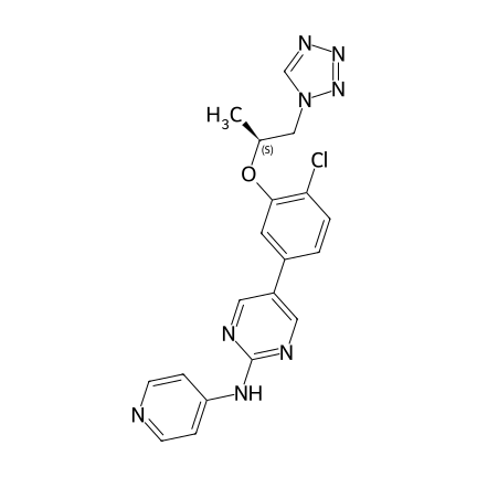 C[C@@H](Cn1cnnn1)Oc1cc(-c2cnc(Nc3ccncc3)nc2)ccc1Cl